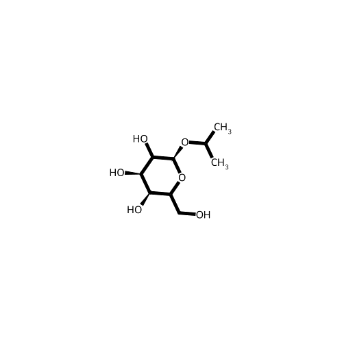 CC(C)O[C@H]1OC(CO)[C@@H](O)[C@@H](O)C1O